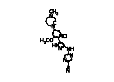 COc1cc(N2CCCN(C)CC2)ccc1-c1cc(Nc2cnc(C#N)cn2)n[nH]1.Cl